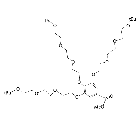 COC(=O)c1cc(OCCOCCOCCOC(C)(C)C)c(OCCOCCOCCOC(C)C)c(OCCOCCOCCOC(C)(C)C)c1